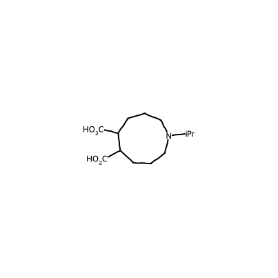 CC(C)N1CCCC(C(=O)O)C(C(=O)O)CCC1